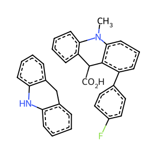 CN1c2ccccc2C(C(=O)O)c2c(-c3ccc(F)cc3)cccc21.c1ccc2c(c1)Cc1ccccc1N2